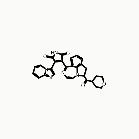 O=C1NC(=O)C(c2cnc3ccccn23)=C1C1=NC=CN2c3c(cccc31)CC2C(=O)C1CCOCC1